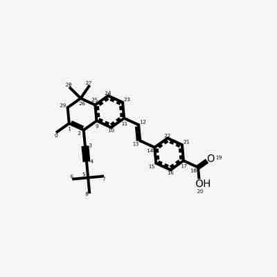 CC1=C(C#CC(C)(C)C)c2cc(C=Cc3ccc(C(=O)O)cc3)ccc2C(C)(C)C1